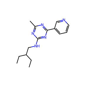 CCC(CC)CNc1nc(C)nc(-c2cccnc2)n1